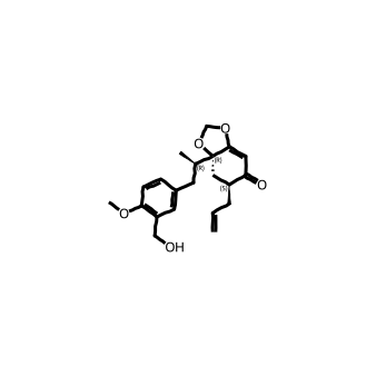 C=CC[C@H]1C[C@]2([C@H](C)Cc3ccc(OC)c(CO)c3)OCOC2=CC1=O